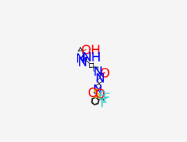 O=C(N1CC2(CC(c3nnc(C4(O)CC4)[nH]3)C2)C1)N1CC2(C1)CN(S(=O)(=O)c1ccccc1C(F)(F)F)C2